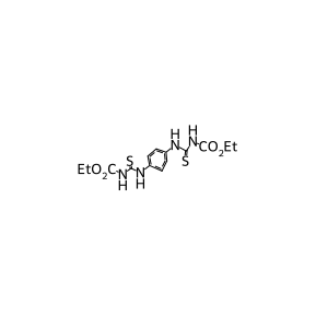 CCOC(=O)NC(=S)Nc1ccc(NC(=S)NC(=O)OCC)cc1